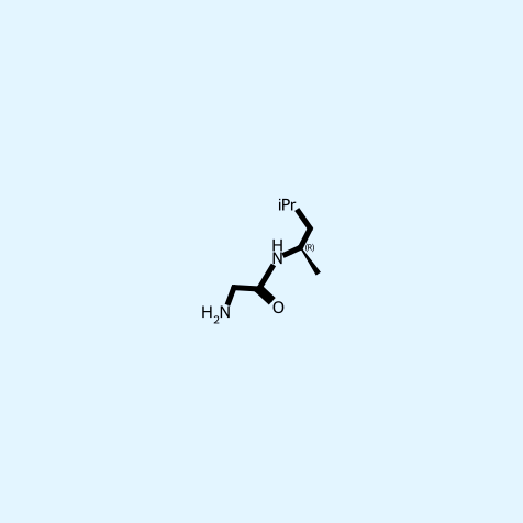 CC(C)C[C@@H](C)NC(=O)CN